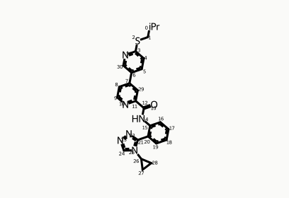 CC(C)CSc1ccc(-c2ccnc(C(=O)Nc3ccccc3-c3nncn3C3CC3)c2)cn1